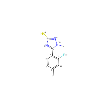 Cc1ccc(-c2nc(S)nn2C)c(F)c1